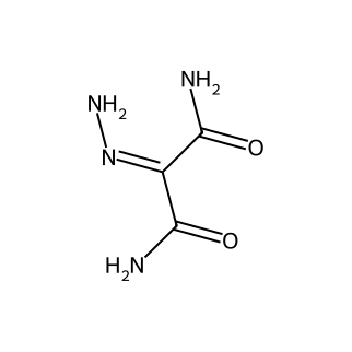 NN=C(C(N)=O)C(N)=O